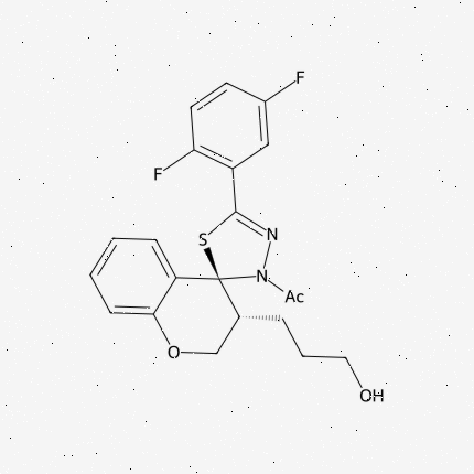 CC(=O)N1N=C(c2cc(F)ccc2F)S[C@@]12c1ccccc1OC[C@H]2CCCO